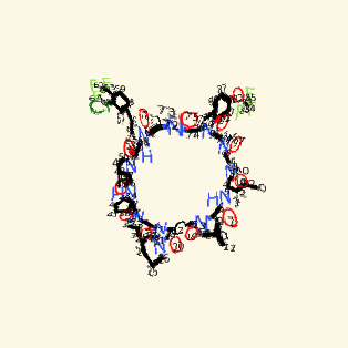 CC[C@H](C)[C@@H]1NC(=O)[C@H](CC(C)C)N(C)C(=O)C[C@@H](C(=O)N2CCCCC2)N(C)C(=O)[C@H](C(C)C)N(C)C(=O)C2(CCCC2)NC(=O)[C@@H]2CCCN2C(=O)[C@H](CCc2ccc(C(F)(F)F)c(Cl)c2)NC(=O)CN(C)C(=O)[C@H](Cc2ccc(OC(F)(F)F)cc2)N(C)C(=O)CN(C)C(=O)CN(C)C1=O